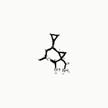 CCCC(C1CC1)C1CC1(CN)C(=O)O